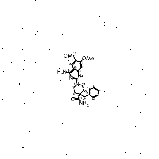 COc1cc2nc(N3CCC(Cc4ccccc4)(C(N)=O)CC3)nc(N)c2cc1OC